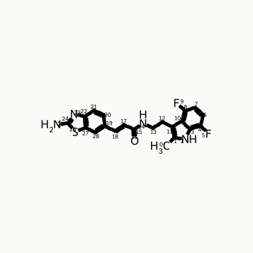 Cc1[nH]c2c(F)ccc(F)c2c1CCNC(=O)/C=C/c1ccc2nc(N)sc2c1